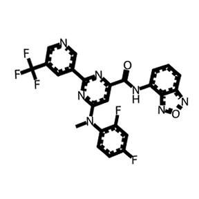 CN(c1cc(C(=O)Nc2cccc3nonc23)nc(-c2cncc(C(F)(F)F)c2)n1)c1ccc(F)cc1F